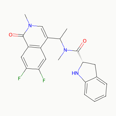 CC(c1cn(C)c(=O)c2cc(F)c(F)cc12)N(C)C(=O)[C@@H]1Cc2ccccc2N1